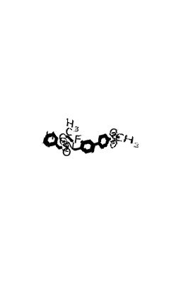 CC(C)CN(Cc1ccc(-c2ccc(S(C)(=O)=O)cc2)cc1F)S(=O)(=O)Cc1ccccc1